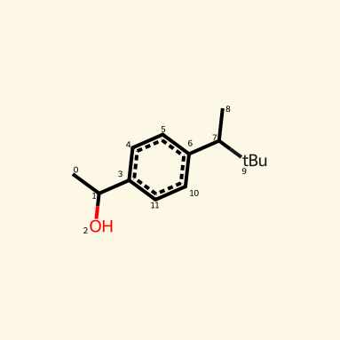 CC(O)c1ccc(C(C)C(C)(C)C)cc1